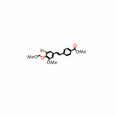 COCOc1c(Br)cc(C=Cc2ccc(C(=O)OC)cc2)cc1OC